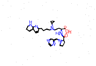 O=C(O)C(CCN(CCCCc1ccc2c(n1)NCCC2)C1CC1)NC(=O)C1CCCN1Cc1cnccn1